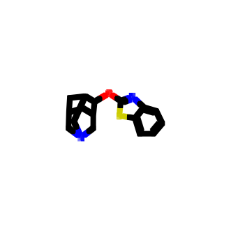 c1ccc2sc(OC3C4CC5CC3CN(C5)C4)nc2c1